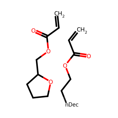 C=CC(=O)OCC1CCCO1.C=CC(=O)OCCCCCCCCCCCC